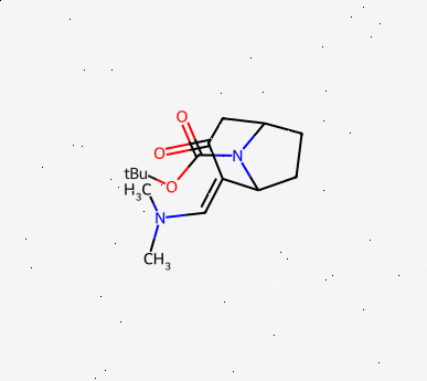 CN(C)C=C1C(=O)CC2CCC1N2C(=O)OC(C)(C)C